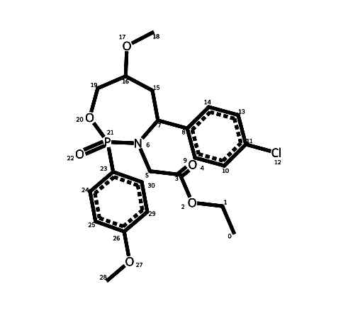 CCOC(=O)CN1C(c2ccc(Cl)cc2)CC(OC)COP1(=O)c1ccc(OC)cc1